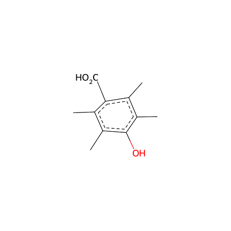 Cc1c(C)c(C(=O)O)c(C)c(C)c1O